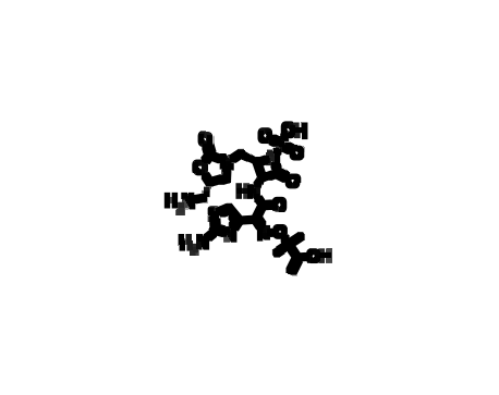 C=C(O)C(C)(C)O/N=C(\C(=O)N[C@@H]1C(=O)N(S(=O)(=O)O)[C@@H]1CN1C[C@H](CN)OC1=O)c1csc(N)n1